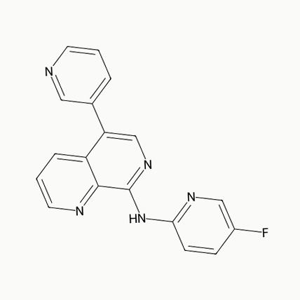 Fc1ccc(Nc2ncc(-c3cccnc3)c3cccnc23)nc1